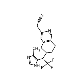 Cc1nc[nH]c1[C@@H](C1CCc2cnc(CC#N)cc2C1)C(F)(F)F